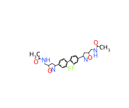 CC(=O)NCC1CC(c2ccc(-c3ccc(C4=NOC(CNC(C)=O)C4)cc3F)c(F)c2)=NO1